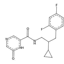 O=C(NCC(Cc1ccc(F)cc1F)C1CC1)c1cncc(=O)[nH]1